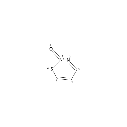 O=[n+]1ncccs1